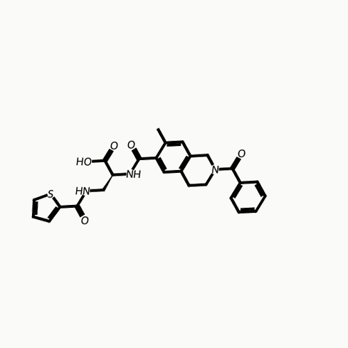 Cc1cc2c(cc1C(=O)N[C@@H](CNC(=O)c1cccs1)C(=O)O)CCN(C(=O)c1ccccc1)C2